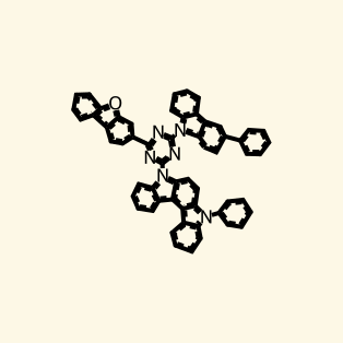 c1ccc(-c2ccc3c(c2)c2ccccc2n3-c2nc(-c3ccc4c(c3)oc3ccccc34)nc(-n3c4ccccc4c4c5c6ccccc6n(-c6ccccc6)c5ccc43)n2)cc1